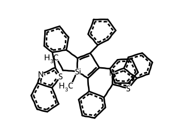 CC[Si]1(C)C(c2ccccc2-c2nc3ccccc3s2)=C(c2ccccc2)C(c2ccccc2)=C1c1ccccc1-c1nc2ccccc2s1